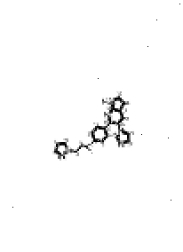 c1cnn(CCOc2ccc(-c3nc4[nH]ccc4cc3-n3ccnc3)cc2)c1